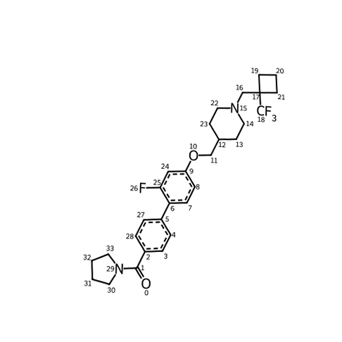 O=C(c1ccc(-c2ccc(OCC3CCN(CC4(C(F)(F)F)CCC4)CC3)cc2F)cc1)N1CCCC1